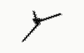 CCCCCCCCCCCCCCCCCC(=O)O[Si](OOC)(OC(=O)CCCCCCCCCCCCCCCCC)C(S)CCCCCCC